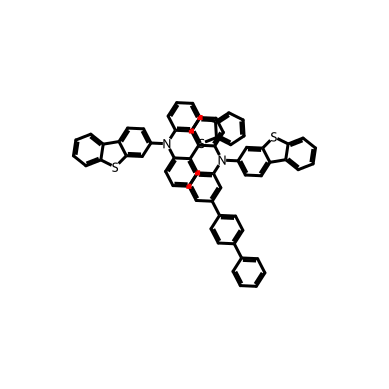 c1ccc(-c2ccc(-c3cccc(N(c4ccc5c(c4)sc4ccccc45)c4ccccc4-c4ccccc4N(c4ccc5c(c4)sc4ccccc45)c4cccc5c4sc4ccccc45)c3)cc2)cc1